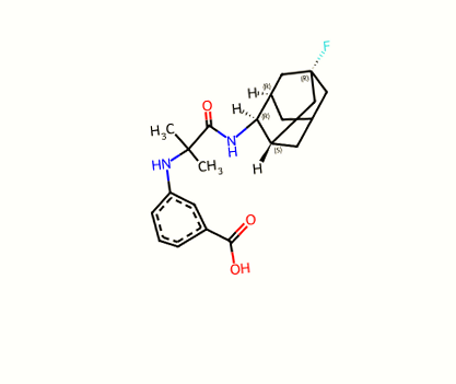 CC(C)(Nc1cccc(C(=O)O)c1)C(=O)N[C@H]1[C@@H]2CC3C[C@H]1C[C@](F)(C3)C2